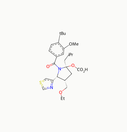 CCOC[C@H]1C[C@](CC(C)C)(OC(=O)O)N(C(=O)c2ccc(C(C)(C)C)c(OC)c2)[C@H]1c1cscn1